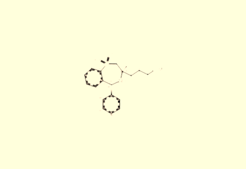 CC[C@]1(CCCOC)CS(=O)(=O)c2ccccc2[C@H](c2ccccc2)N1